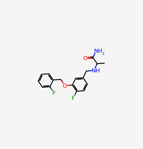 CC(NCc1ccc(F)c(OCc2ccccc2F)c1)C(N)=O